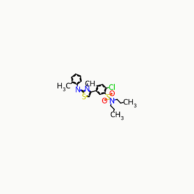 CCCN(CCC)S(=O)(=O)c1cc(-c2csc(=Nc3ccccc3C)n2C)ccc1Cl